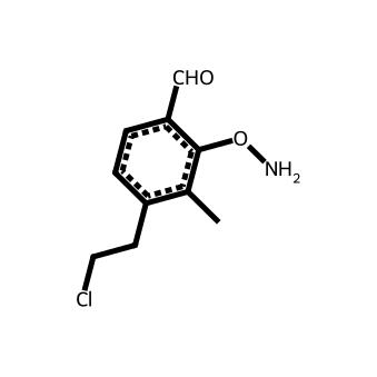 Cc1c(CCCl)ccc(C=O)c1ON